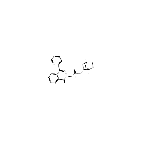 O=C(C[C@H]1C[C@@H]2CC[C@H]1C2)Nn1nc(-c2ccccn2)c2ccccc2c1=O